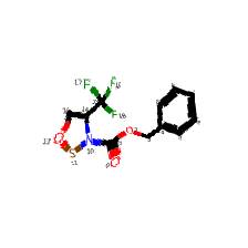 O=C(OCc1ccccc1)N1SOCC1C(F)(F)F